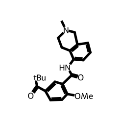 COc1ccc(C(=O)C(C)(C)C)cc1C(=O)Nc1cccc2c1CCN(C)C2